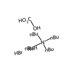 Br.CCCC[N+](CCCC)(CCCC)CCCC.O=C(O)O.[NaH]